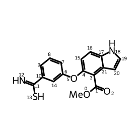 COC(=O)c1c(Oc2cccc(C(=N)S)c2)ccc2[nH]ccc12